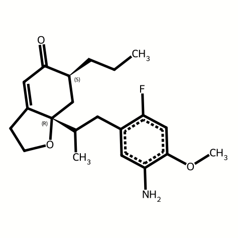 CCC[C@H]1C[C@]2(C(C)Cc3cc(N)c(OC)cc3F)OCCC2=CC1=O